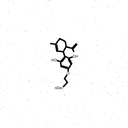 C=C(C)C1CCC(C)=CC1c1c(O)cc(OCCCCCCCCCCCC)cc1O